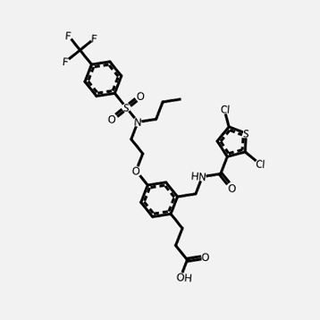 CCCN(CCOc1ccc(CCC(=O)O)c(CNC(=O)c2cc(Cl)sc2Cl)c1)S(=O)(=O)c1ccc(C(F)(F)F)cc1